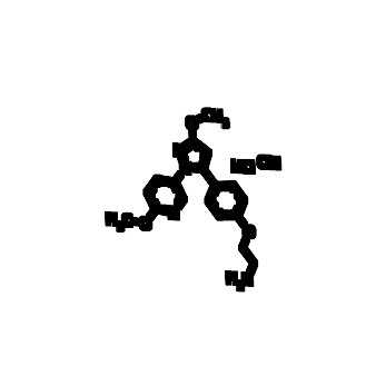 COc1ccc(-n2nc(OC)cc2-c2ccc(OCCN)cc2)cn1.Cl.Cl